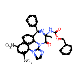 CC1(NC(=O)OCc2ccccc2)N=C(c2ccccc2)c2ccccc2N(c2nccn2-c2ccc([N+](=O)[O-])cc2[N+](=O)[O-])C1=O